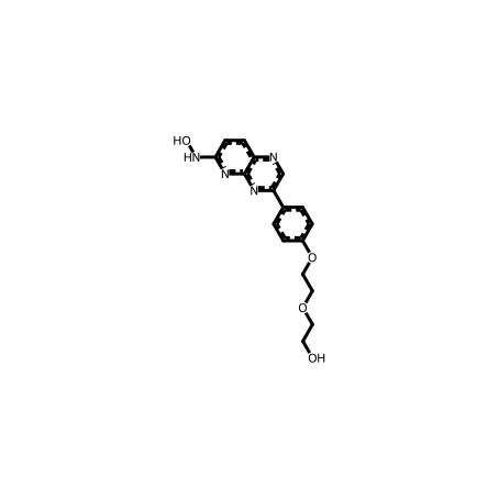 OCCOCCOc1ccc(-c2cnc3ccc(NO)nc3n2)cc1